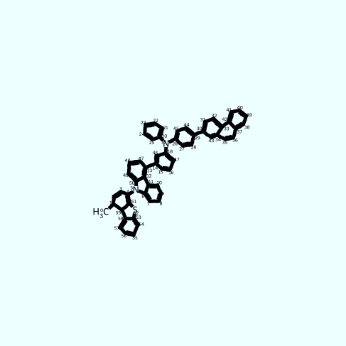 CC1C=CC(n2c3ccccc3c3c(-c4cccc(N(c5ccccc5)c5ccc(-c6ccc7c(ccc8ccccc87)c6)cc5)c4)cccc32)=C2Sc3ccccc3C21